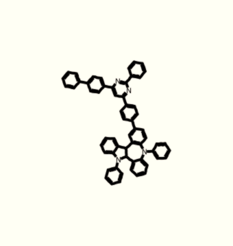 c1ccc(-c2ccc(-c3cc(-c4ccc(-c5ccc6c(c5)C5c7ccccc7N(c7ccccc7)C5c5ccccc5N6c5ccccc5)cc4)nc(-c4ccccc4)n3)cc2)cc1